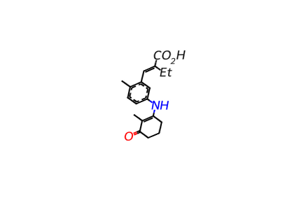 CC/C(=C\c1cc(NC2=C(C)C(=O)CCC2)ccc1C)C(=O)O